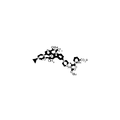 CO[C@@H](C)c1ncc(N2CCN(C3CC3)CC2)cc1-c1c(CC(C)(C)COC(C)=O)c2cc(N3CCO[C@@H](C[C@H](NC(=O)OC(C)(C)C)C(=O)N4CCC[C@@H](C(=O)O)N4)C3)ccc2n1CC(F)(F)F